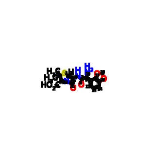 CC1(C)S[C@@H]2[C@H](NC(=O)C(N)c3cccc4c3OCO4)C(=O)N2[C@H]1C(=O)O